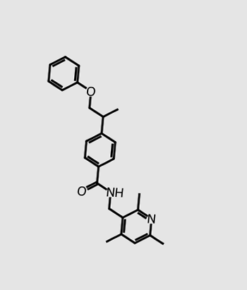 Cc1cc(C)c(CNC(=O)c2ccc(C(C)COc3ccccc3)cc2)c(C)n1